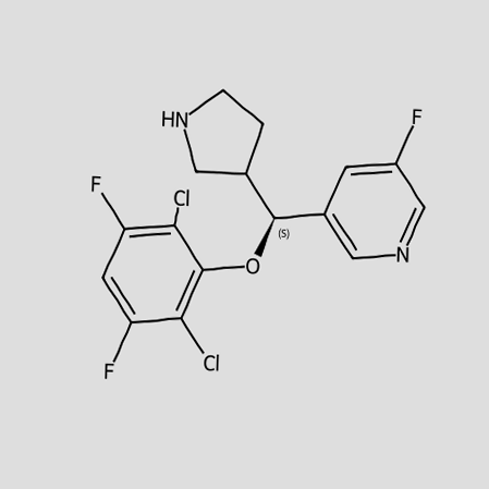 Fc1cncc([C@@H](Oc2c(Cl)c(F)cc(F)c2Cl)C2CCNC2)c1